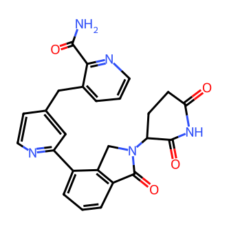 NC(=O)c1ncccc1Cc1ccnc(-c2cccc3c2CN(C2CCC(=O)NC2=O)C3=O)c1